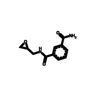 NC(=O)c1cccc(C(=O)NCC2CO2)c1